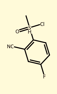 C[SH](=O)(Cl)c1ccc(F)cc1C#N